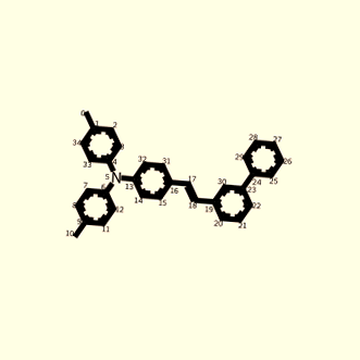 Cc1ccc(N(c2ccc(C)cc2)c2ccc(C=Cc3cccc(-c4ccccc4)c3)cc2)cc1